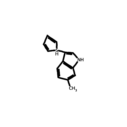 Cc1ccc2c([SH]3C=CC=C3)c[nH]c2c1